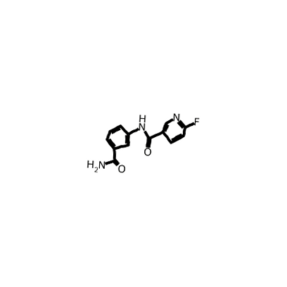 NC(=O)c1cccc(NC(=O)c2ccc(F)nc2)c1